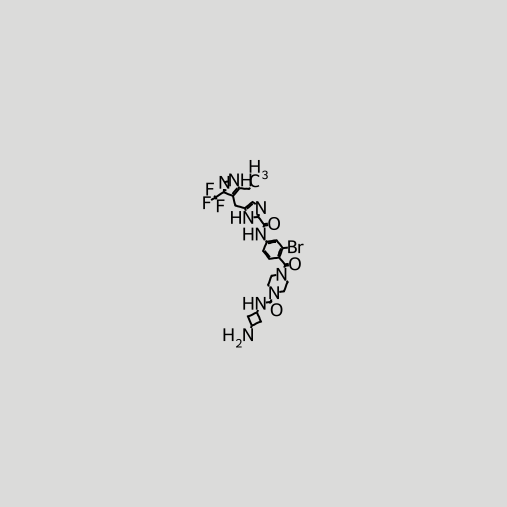 CCc1[nH]nc(C(F)(F)F)c1Cc1cnc(C(=O)Nc2ccc(C(=O)N3CCN(C(=O)NC4CC(N)C4)CC3)c(Br)c2)[nH]1